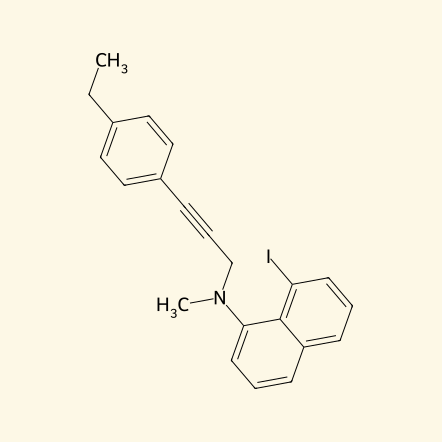 CCc1ccc(C#CCN(C)c2cccc3cccc(I)c23)cc1